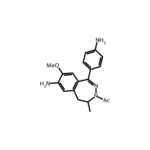 COc1cc2c(cc1N)CC(C)N(C(C)=O)N=C2c1ccc(N)cc1